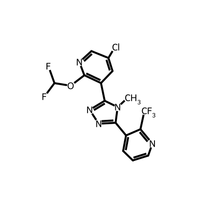 Cn1c(-c2cc(Cl)cnc2OC(F)F)nnc1-c1cccnc1C(F)(F)F